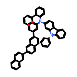 c1ccc(-c2ccccc2N(c2cccc(-c3ccc4ccc(-c5ccc6ccccc6c5)cc4c3)c2)c2ccc3c4ccccc4n(-c4ccccc4)c3c2)cc1